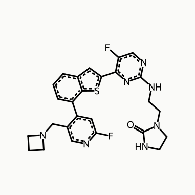 O=C1NCCN1CCNc1ncc(F)c(-c2cc3cccc(-c4cc(F)ncc4CN4CCC4)c3s2)n1